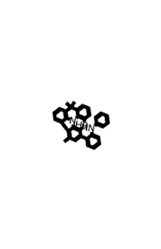 Cc1cc(-c2ccccc2Nc2ccccc2)c2c3c1c1cccc4c1n3-c1c(cccc1C4(C)C)B2